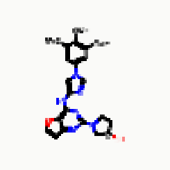 COc1cc(-n2cnc(Nc3nc(N4CC[C@H](O)C4)nc4ccoc34)c2)cc(OC)c1OC